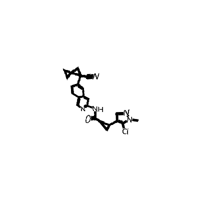 Cn1ncc(C2CC2C(=O)Nc2cc3cc(C4(C#N)CC45CC5)ccc3cn2)c1Cl